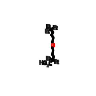 CCC(CC)(CC)CCCCOCCCCC(CC)(CC)C(=O)O